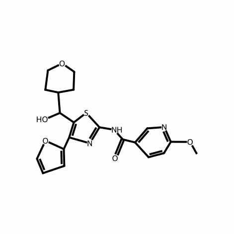 COc1ccc(C(=O)Nc2nc(-c3ccco3)c(C(O)C3CCOCC3)s2)cn1